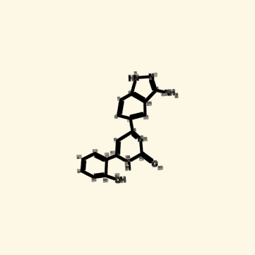 Nc1n[nH]c2ccc(-c3cc(-c4ccccc4O)[nH]c(=O)n3)cc12